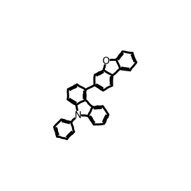 c1ccc(-n2c3ccccc3c3c(-c4ccc5c(c4)oc4ccccc45)cccc32)cc1